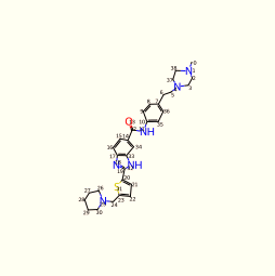 CN1CCN(CCc2ccc(NC(=O)c3ccc4nc(-c5ccc(CN6CCCCC6)s5)[nH]c4c3)cc2)CC1